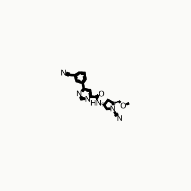 COC[C@@H]1C[C@@H](NC(=O)c2cc(-c3cccc(C#N)c3)ncn2)CN1C#N